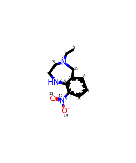 CCN1CCNc2c(cccc2[N+](=O)[O-])C1